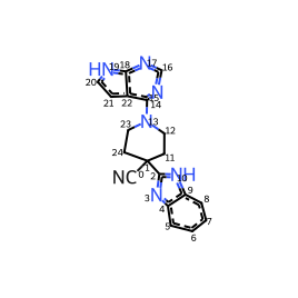 N#CC1(c2nc3ccccc3[nH]2)CCN(c2ncnc3[nH]ccc23)CC1